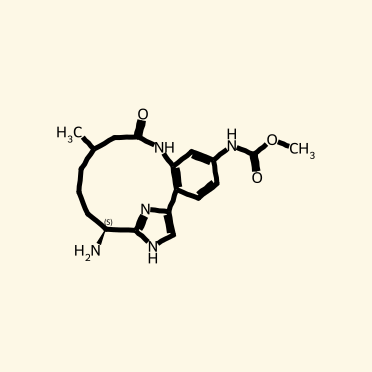 COC(=O)Nc1ccc2c(c1)NC(=O)CC(C)CCC[C@H](N)c1nc-2c[nH]1